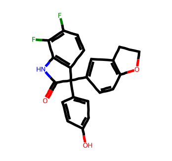 O=C1Nc2c(ccc(F)c2F)C1(c1ccc(O)cc1)c1ccc2c(c1)CCO2